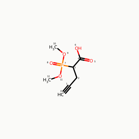 C#CCC(C(=O)O)P(=O)(OC)OC